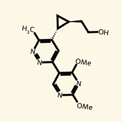 COc1ncc(-c2cc([C@@H]3C[C@H]3CCO)c(C)nn2)c(OC)n1